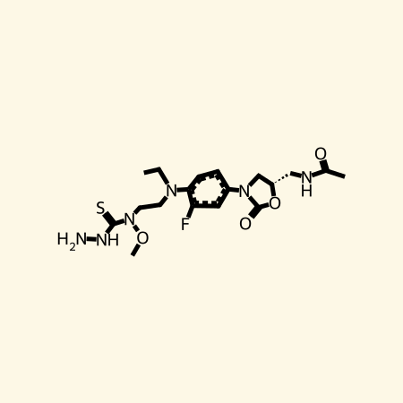 CCN(CCN(OC)C(=S)NN)c1ccc(N2C[C@H](CNC(C)=O)OC2=O)cc1F